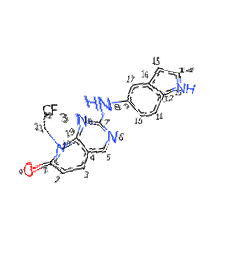 O=c1ccc2cnc(Nc3ccc4[nH]ccc4c3)nc2n1CC(F)(F)F